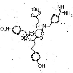 CC(C)(C)OC(=O)CC[C@H](NC(=O)[C@@H](CCc1ccc(O)cc1)NS(=O)(=O)Cc1ccc([N+](=O)[O-])cc1)C(=O)NCc1ccc(C(=N)N)cc1